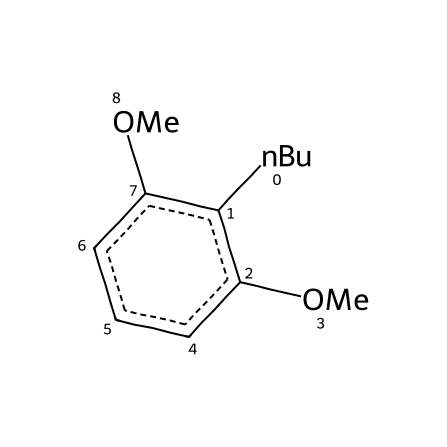 CCCCc1c(OC)cccc1OC